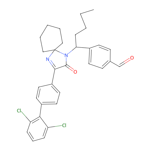 CCCCC(c1ccc(C=O)cc1)N1C(=O)C(c2ccc(-c3c(Cl)cccc3Cl)cc2)=NC12CCCCC2